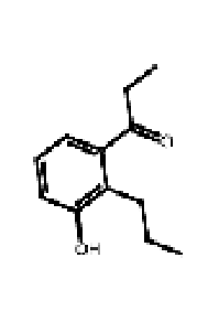 CCCc1c(O)cccc1C(=O)CC